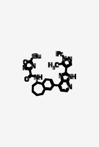 Cc1c(-c2nc3c(C4=CCC5C(=C4)CCCC[C@@H]5NC(=O)c4noc(C(C)(C)C)n4)ccnc3[nH]2)cnn1C(C)C